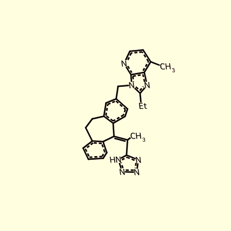 CCc1nc2c(C)ccnc2n1Cc1ccc2c(c1)CCc1ccccc1/C2=C(/C)c1nnn[nH]1